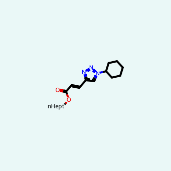 CCCCCCCOC(=O)C=Cc1cn(C2CCCCC2)nn1